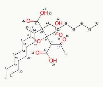 CCCCCCC(C)OC(C(=O)O)(C(C(C)=O)C(=O)O)C(C(=O)O)(C(C)CCCCCC)C(C)CCCCCC